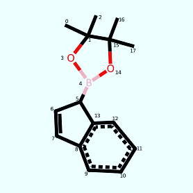 CC1(C)OB(C2C=Cc3ccccc32)OC1(C)C